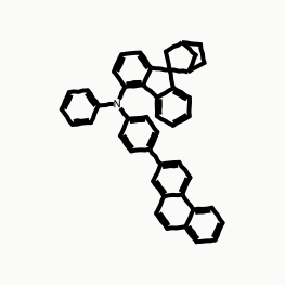 c1ccc(N(c2ccc(-c3ccc4c(ccc5ccccc54)c3)cc2)c2cccc3c2-c2ccccc2C32CC3CCC2C3)cc1